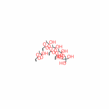 C=CC(=O)OC(C)C(=O)O.C=CC(=O)OC(C)C(=O)O.C=CC(=O)OC(C)C(=O)O.C=CC(=O)OC(C)C(=O)O.OCC(CO)(CO)CO